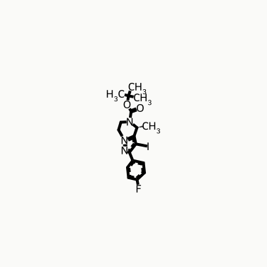 C[C@@H]1c2c(I)c(-c3ccc(F)cc3)nn2CCN1C(=O)OC(C)(C)C